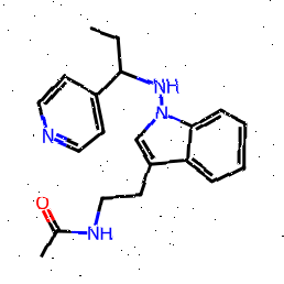 CCC(Nn1cc(CCNC(C)=O)c2ccccc21)c1ccncc1